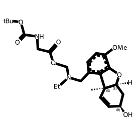 CCN(COC(=O)CNC(=O)OC(C)(C)C)Cc1ccc(OC)c2c1[C@]1(C)C=C[C@H](O)C[C@@H]1O2